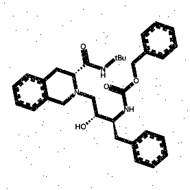 CC(C)(C)NC(=O)[C@H]1Cc2ccccc2CN1C[C@@H](O)[C@H](Cc1ccccc1)NC(=O)OCc1ccccc1